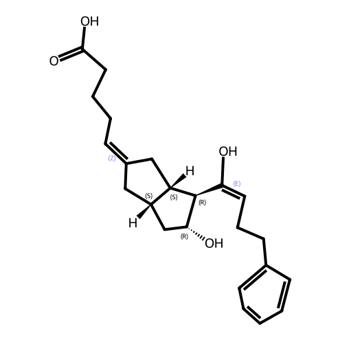 O=C(O)CCC/C=C1/C[C@H]2C[C@@H](O)[C@H](/C(O)=C\CCc3ccccc3)[C@H]2C1